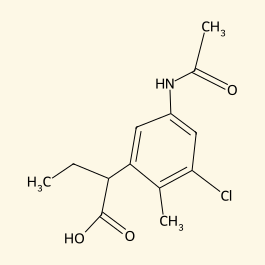 CCC(C(=O)O)c1cc(NC(C)=O)cc(Cl)c1C